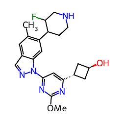 COc1nc(-n2ncc3cc(C)c(C4CCNCC4F)cc32)cc([C@H]2C[C@H](O)C2)n1